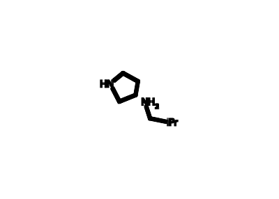 C1CCNC1.CC(C)CN